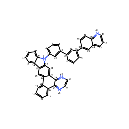 c1cc(-c2cccc(-n3c4ccccc4c4cc5c6ccccc6c6nccnc6c5cc43)c2)cc(-c2ccc3ncccc3c2)c1